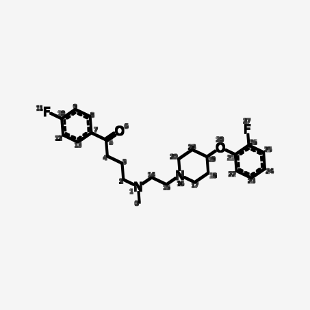 CN(CCCC(=O)c1ccc(F)cc1)CCN1CCC(Oc2ccccc2F)CC1